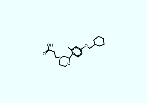 Cc1cc(OCC2CCCCC2)ccc1C1CN(CCC(=O)O)CCO1